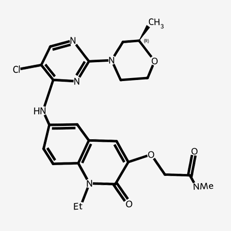 CCn1c(=O)c(OCC(=O)NC)cc2cc(Nc3nc(N4CCO[C@H](C)C4)ncc3Cl)ccc21